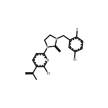 C=C(C)c1ccc(N2CCN(Cc3cc(CC)ccc3F)C2=C)nc1CC